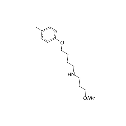 COCCCNCCCCOc1ccc(C)cc1